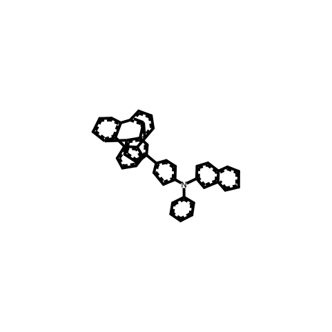 c1ccc(N(c2ccc(-c3ccc4c(c3)-c3c5cccc3-c3cccc-4c3-c3ccccc3-5)cc2)c2ccc3ccccc3c2)cc1